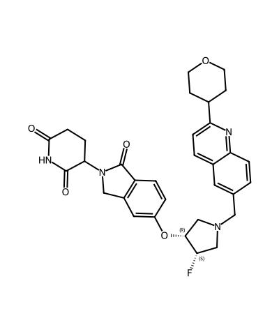 O=C1CCC(N2Cc3cc(O[C@@H]4CN(Cc5ccc6nc(C7CCOCC7)ccc6c5)C[C@@H]4F)ccc3C2=O)C(=O)N1